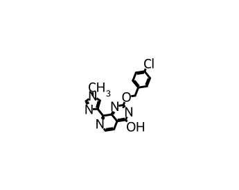 Cn1cnc(-c2nccc3c(O)nc(OCc4ccc(Cl)cc4)nc23)c1